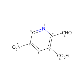 CCOC(=O)c1cc([N+](=O)[O-])cnc1C=O